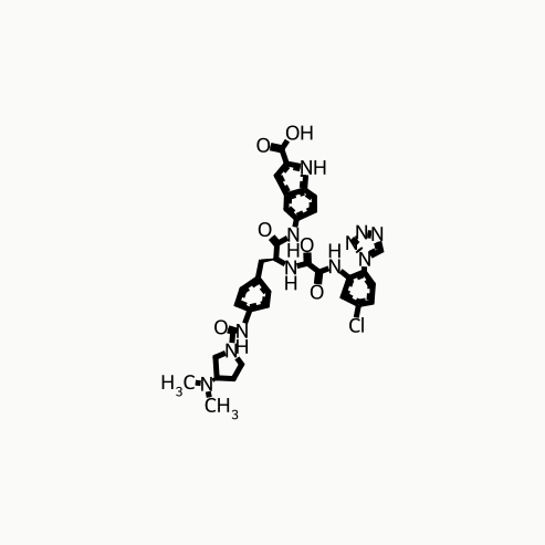 CN(C)[C@@H]1CCN(C(=O)Nc2ccc(C[C@H](NC(=O)C(=O)Nc3cc(Cl)ccc3-n3cnnn3)C(=O)Nc3ccc4[nH]c(C(=O)O)cc4c3)cc2)C1